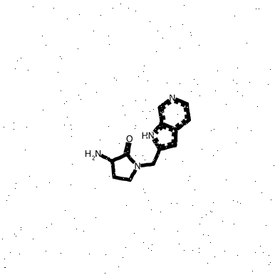 NC1CCN(Cc2cc3ccncc3[nH]2)C1=O